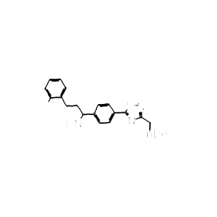 CCCCCCCCCCCc1noc(-c2ccc(C([NH])CCc3ccccc3F)cc2)n1